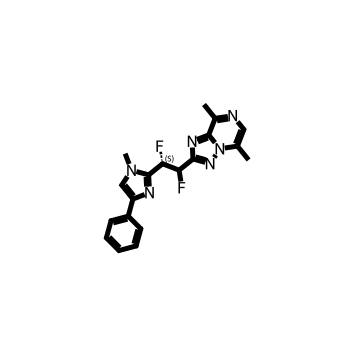 Cc1ncc(C)n2nc(C(F)[C@@H](F)c3nc(-c4ccccc4)cn3C)nc12